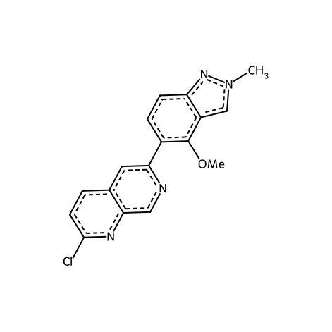 COc1c(-c2cc3ccc(Cl)nc3cn2)ccc2nn(C)cc12